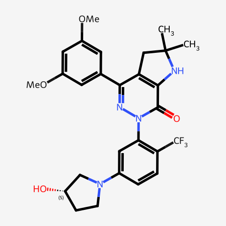 COc1cc(OC)cc(-c2nn(-c3cc(N4CC[C@H](O)C4)ccc3C(F)(F)F)c(=O)c3c2CC(C)(C)N3)c1